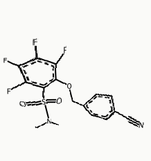 CN(C)S(=O)(=O)c1c(F)c(F)c(F)c(F)c1OCc1ccc(C#N)cc1